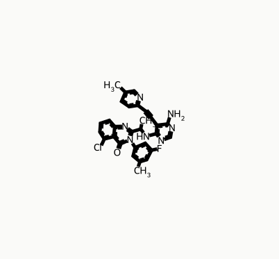 Cc1ccc(C#Cc2c(N)ncnc2NC(C)c2nc3cccc(Cl)c3c(=O)n2-c2cc(C)cc(F)c2)nc1